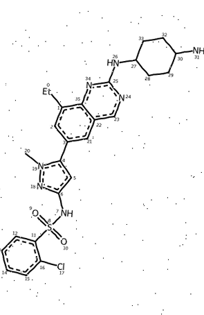 CCc1cc(-c2cc(NS(=O)(=O)c3ccccc3Cl)nn2C)cc2cnc(NC3CCC(N)CC3)nc12